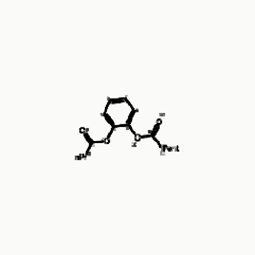 CCCC(=O)Oc1ccccc1OC(=O)C(C)CCC